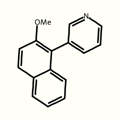 COc1ccc2ccccc2c1-c1cccnc1